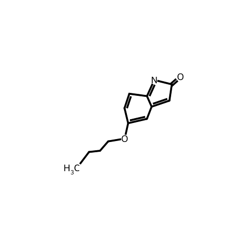 CCCCOc1ccc2c(c1)=CC(=O)N=2